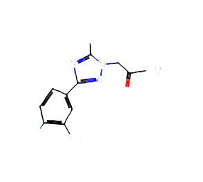 CCc1nc(-c2ccc(F)c(C)c2)nn1CC(=O)OC